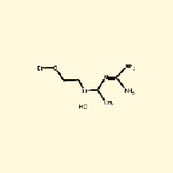 CCOCCOC(C)N=C(N)N.Cl